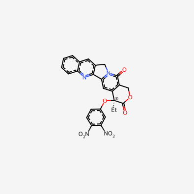 CC[C@@]1(Oc2ccc([N+](=O)[O-])c([N+](=O)[O-])c2)C(=O)OCc2c1cc1n(c2=O)Cc2cc3ccccc3nc2-1